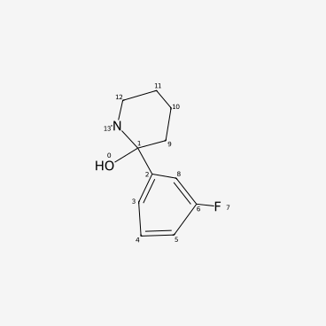 OC1(c2cccc(F)c2)CCCC[N]1